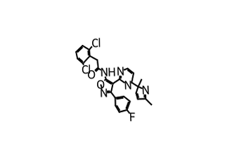 CC1=NC(C)(c2ccnc(-c3c(-c4ccc(F)cc4)noc3NC(=O)Cc3c(Cl)cccc3Cl)n2)C=C1